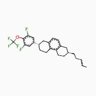 CC=CCC[C@H]1CCc2c(ccc3c2CC[C@H](c2cc(F)c(OC(F)(F)F)c(F)c2)C3)C1